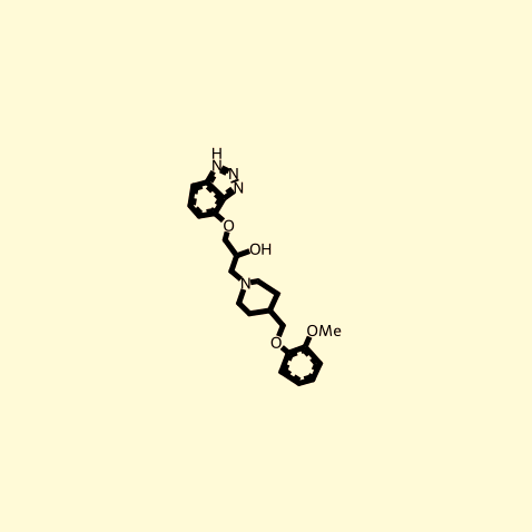 COc1ccccc1OCC1CCN(CC(O)COc2cccc3[nH]nnc23)CC1